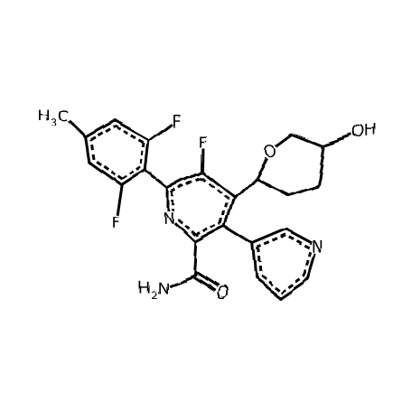 Cc1cc(F)c(-c2nc(C(N)=O)c(-c3cccnc3)c(C3CCC(O)CO3)c2F)c(F)c1